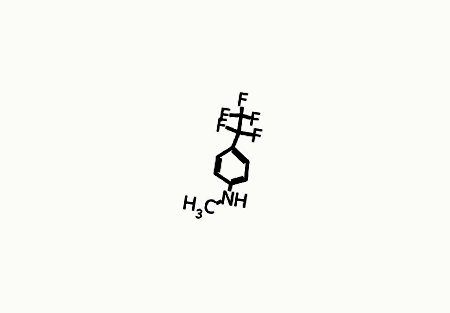 CNc1ccc(C(F)(F)C(F)(F)F)cc1